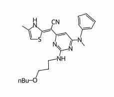 CCCCOCCCNc1nc(/C(C#N)=C2/NC(C)=CS2)cc(N(C)c2ccccc2)n1